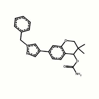 CC1(C)COc2cc(-c3cnn(Cc4ccccc4)c3)ccc2C1OC(N)=O